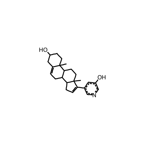 CC12CCC(O)CC1=CCC1C2CCC2(C)C(c3cncc(O)c3)=CCC12